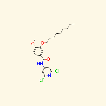 CCCCCCCCCOc1cc(C(=O)Nc2cc(Cl)nc(Cl)c2)ccc1OC